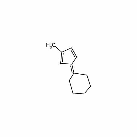 CC1=[C]C(=C2CCCCC2)C=C1